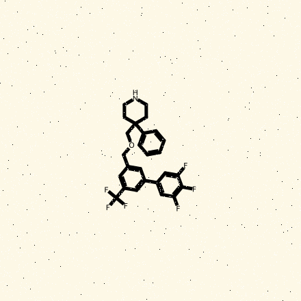 Fc1cc(-c2cc(COCC3(c4ccccc4)CCNCC3)cc(C(F)(F)F)c2)cc(F)c1F